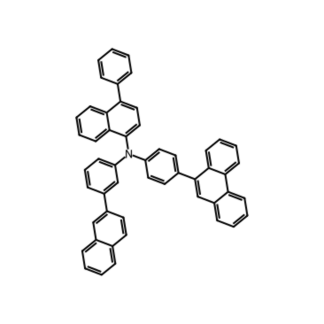 c1ccc(-c2ccc(N(c3ccc(-c4cc5ccccc5c5ccccc45)cc3)c3cccc(-c4ccc5ccccc5c4)c3)c3ccccc23)cc1